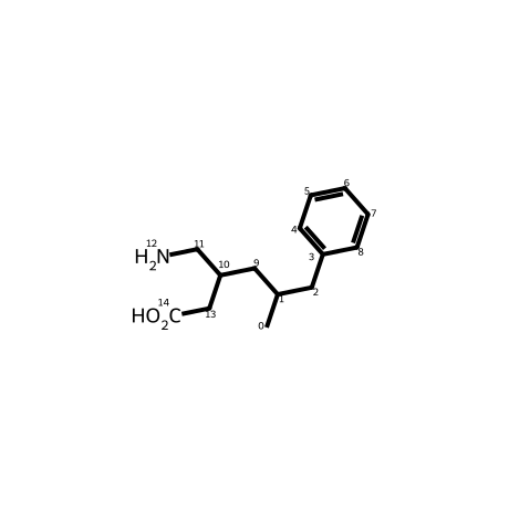 CC(Cc1ccccc1)CC(CN)CC(=O)O